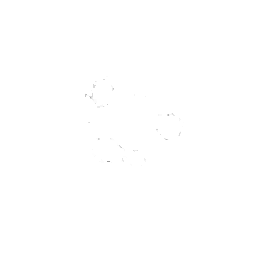 O=C(O)c1coc2cc(Oc3cc(COCc4ccccc4)ncn3)ccc12